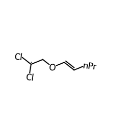 CCC/C=C/OC[C](Cl)Cl